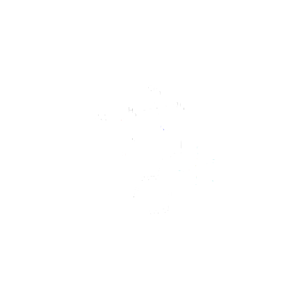 COC(=O)C1C(c2ccccc2)=C(S(F)(F)(F)(F)F)CN1C(C)(C)C